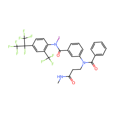 CNC(=O)CCN(C(=O)c1ccccc1)c1cccc(C(=O)N(I)c2ccc(C(F)(C(F)(F)F)C(F)(F)F)cc2C(F)(F)F)c1